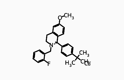 COc1ccc2c(c1)CC[N+](Cc1ccccc1F)=C2c1ccc(C(C)(C)C)cc1.[Cl-]